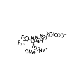 COCC1(CN(C)c2cc(-c3ccc(F)c(C(F)(F)F)c3)nc3nc(-c4cnc(N5CCN(CC(=O)[O-])C[C@H]5C)cn4)[nH]c23)CCC1.[Na+]